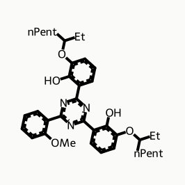 CCCCCC(CC)Oc1cccc(-c2nc(-c3ccccc3OC)nc(-c3cccc(OC(CC)CCCCC)c3O)n2)c1O